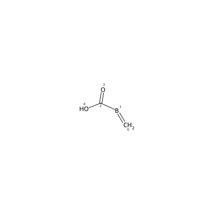 C=BC(=O)O